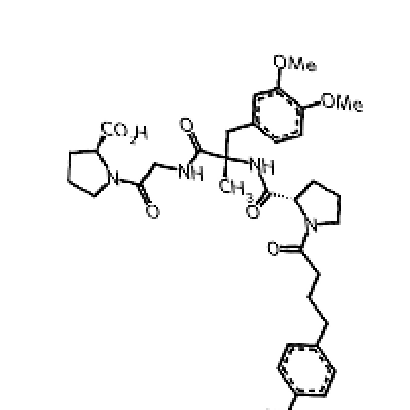 COc1ccc(C[C@](C)(NC(=O)[C@@H]2CCCN2C(=O)CCCc2ccc(O)cc2)C(=O)NCC(=O)N2CCC[C@H]2C(=O)O)cc1OC